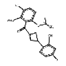 COc1c(C#N)ccc(O[C@@H](C)C(F)(F)F)c1C(=O)N1CC(c2ccc(F)cc2C#N)C1